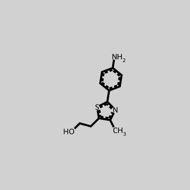 Cc1nc(-c2ccc(N)cc2)sc1CCO